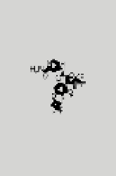 COc1c([C@H]2[C@H](C(=O)Nc3ccnc(C(N)=O)c3)O[C@@](C)(C(F)(F)F)[C@H]2C)ccc(OC2CC(F)(F)C2)c1F